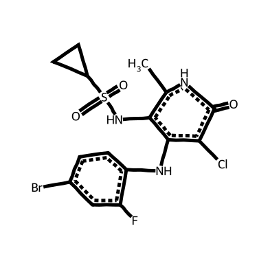 Cc1[nH]c(=O)c(Cl)c(Nc2ccc(Br)cc2F)c1NS(=O)(=O)C1CC1